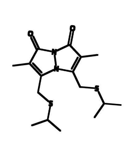 Cc1c(CSC(C)C)n2c(CSC(C)C)c(C)c(=O)n2c1=O